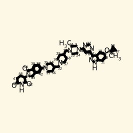 C[C@H]1CN(c2cc(C3=NNC4C=CC(OC5(C)CC5)=CC34)ncn2)CCN1CC1CCN(CC2CCN(c3ccc4c(c3)CN(C3CCC(=O)NC3=O)C4=O)CC2)CC1